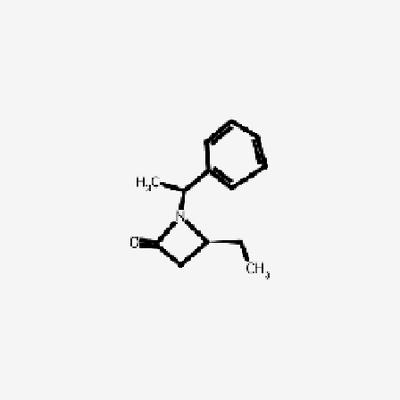 CC[C@H]1CC(=O)N1C(C)c1ccccc1